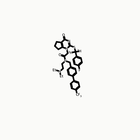 [2H]C([2H])(Sc1nc(=O)c2c(n1CC(=O)N(CCN(CC)CC)Cc1ccc(-c3ccc(C(F)(F)F)cc3)cc1)CCC2)c1ccc(F)cc1